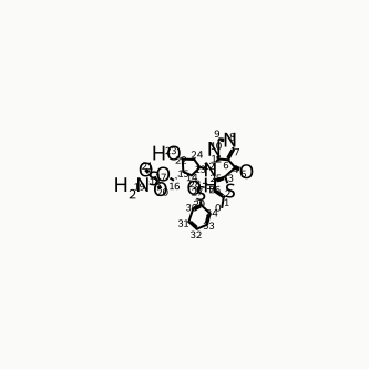 Cc1sc(C(=O)c2cncnc2NC2C[C@H](COS(N)(=O)=O)[C@@H](O)C2)cc1[S+]([O-])c1ccccc1